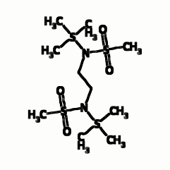 CS(C)(C)N(CCN(S(C)(C)C)S(C)(=O)=O)S(C)(=O)=O